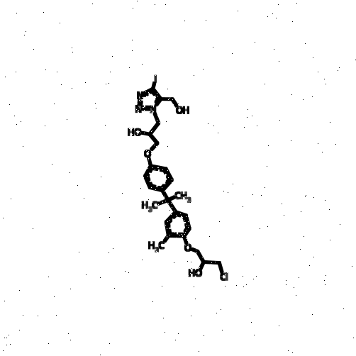 Cc1cc(C(C)(C)c2ccc(OCC(O)Cn3nnc(I)c3CO)cc2)ccc1OCC(O)CCl